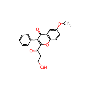 COc1ccc2oc(C(=O)CCO)c(-c3ccccc3)c(=O)c2c1